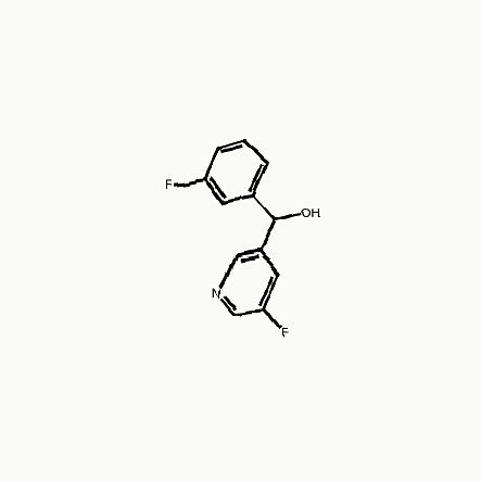 O[C](c1cccc(F)c1)c1cncc(F)c1